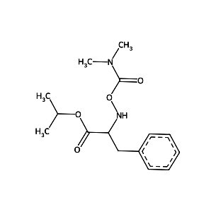 CC(C)OC(=O)C(Cc1ccccc1)NOC(=O)N(C)C